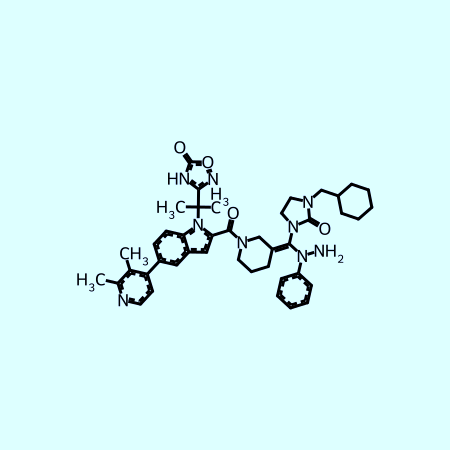 Cc1nccc(-c2ccc3c(c2)cc(C(=O)N2CCC/C(=C(/N4CCN(CC5CCCCC5)C4=O)N(N)c4ccccc4)C2)n3C(C)(C)c2noc(=O)[nH]2)c1C